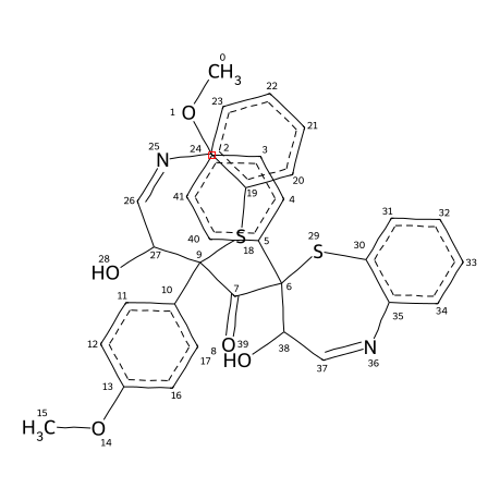 COc1ccc(C2(C(=O)C3(c4ccc(OC)cc4)Sc4ccccc4N=CC3O)Sc3ccccc3N=CC2O)cc1